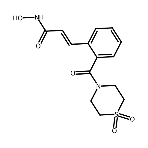 O=C(C=Cc1ccccc1C(=O)N1CCS(=O)(=O)CC1)NO